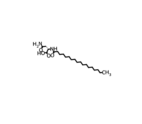 CCCCCCCCCCCCCCCCCC(=O)N[C@@H](CC(N)=O)C(=O)O